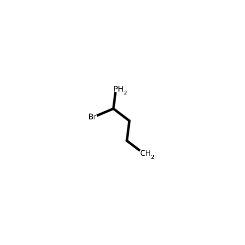 [CH2]CCC(P)Br